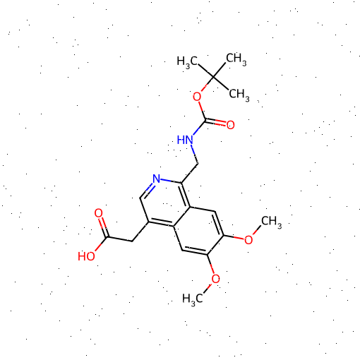 COc1cc2c(CC(=O)O)cnc(CNC(=O)OC(C)(C)C)c2cc1OC